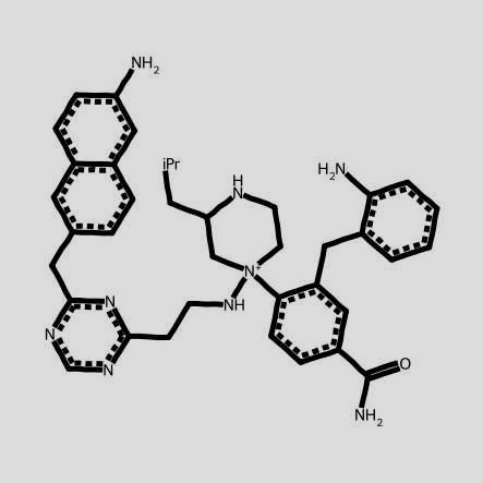 CC(C)CC1C[N+](NCCc2ncnc(Cc3ccc4cc(N)ccc4c3)n2)(c2ccc(C(N)=O)cc2Cc2ccccc2N)CCN1